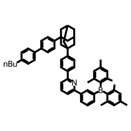 CCCCc1ccc(-c2ccc(C34CC5CC(C3)CC(c3ccc(-c6cccc(-c7cccc(B(c8c(C)cc(C)cc8C)c8c(C)cc(C)cc8C)c7)n6)cc3)(C5)C4)cc2)cc1